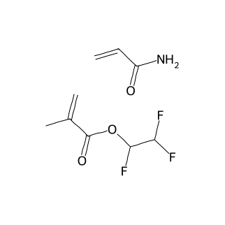 C=C(C)C(=O)OC(F)C(F)F.C=CC(N)=O